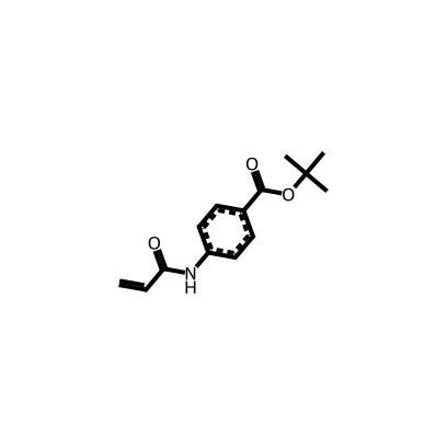 C=CC(=O)Nc1ccc(C(=O)OC(C)(C)C)cc1